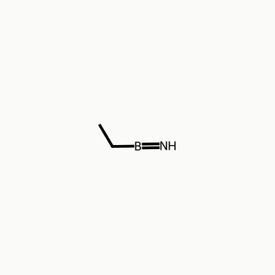 CCB=N